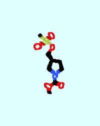 COC(=O)N1CCC(COS(C)(=O)=O)C1